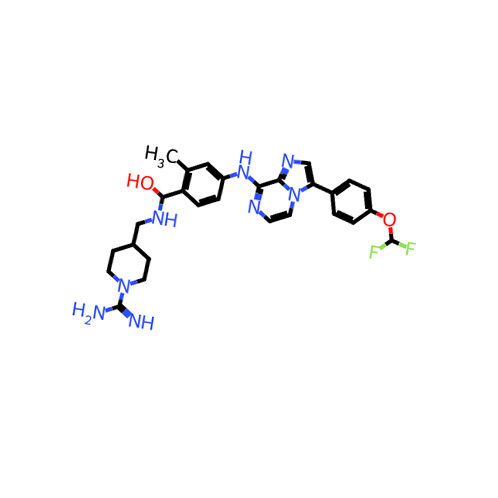 Cc1cc(Nc2nccn3c(-c4ccc(OC(F)F)cc4)cnc23)ccc1C(O)NCC1CCN(C(=N)N)CC1